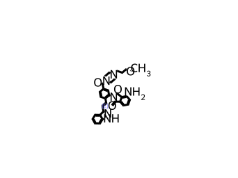 COCCCN1CCN(C(=O)c2ccc(/C=C/c3n[nH]c4ccccc34)c(N3C(=O)c4cccc(N)c4C3=O)c2)CC1